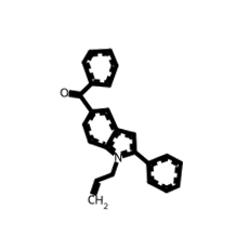 C=CCn1c(-c2ccccc2)cc2cc(C(=O)c3ccccc3)ccc21